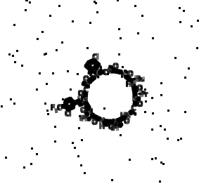 CC[C@H](C)[C@@H]1NC(=O)[C@H](C(C)C)N(C)C(=O)C[C@@H](C)NC(=O)[C@H](CC(C)C)N(C)C(=O)C(C)(C)NC(=O)[C@H](CC(C)C)N(C)C(=O)[C@H](CCc2ccc(C(F)(F)F)c(Cl)c2)NC(=O)CN(C)C(=O)[C@H](Cc2ccc(Cl)cc2)N(C)C(=O)CN(C)C(=O)CN(C)C1=O